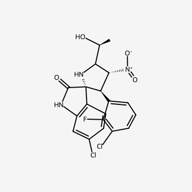 C[C@H](O)C1N[C@]2(C(=O)Nc3cc(Cl)ccc32)[C@H](c2cccc(Cl)c2F)[C@H]1[N+](=O)[O-]